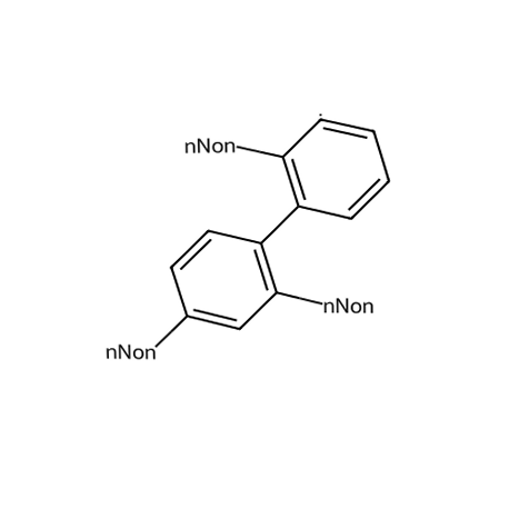 CCCCCCCCCc1ccc(-c2ccc[c]c2CCCCCCCCC)c(CCCCCCCCC)c1